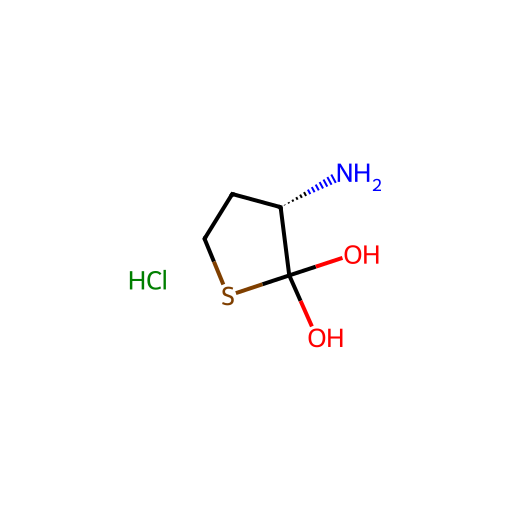 Cl.N[C@H]1CCSC1(O)O